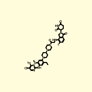 [2H]c1nc(Nc2cc(CC)c(N3CCC(N4CCN(C(=O)CNc5c(F)ccc6c5CN(C5CCC(=O)NC5=O)C6=O)CC4)CC3)cc2OC)ncc1Cl